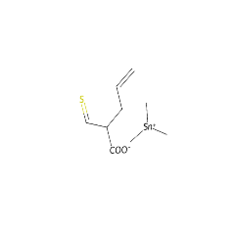 C=CCC(C=S)C(=O)[O-].[CH3][Sn+]([CH3])[CH3]